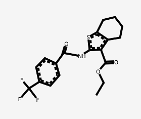 CCOC(=O)c1c(NC(=O)c2ccc(C(F)(F)F)cc2)sc2c1CCCC2